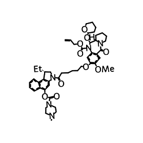 C=CCOC(=O)N1c2cc(OCCCCCC(=O)N3C[C@@H](CC)c4c3cc(OC(=O)N3CCN(C)CC3)c3ccccc43)c(OC)cc2C(=O)N2CCCC[C@H]2C1OC1CCCCO1